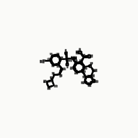 O=C(O)c1c(NS(=O)(=O)c2ccc(F)cc2/C=C\CN2CCC2)ccc2c1OCc1occc1-2